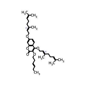 CCC=CCCOc1c(OC/C=C(\C)CCC=C(C)C)c2ccc(OC/C=C(\C)CCC=C(C)C)cc2oc1=O